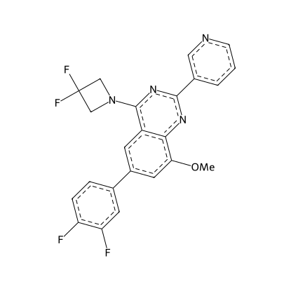 COc1cc(-c2ccc(F)c(F)c2)cc2c(N3CC(F)(F)C3)nc(-c3cccnc3)nc12